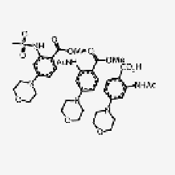 CC(=O)Nc1cc(N2CCOCC2)ccc1C(=O)O.COC(=O)c1ccc(N2CCOCC2)cc1NC(C)=O.COC(=O)c1ccc(N2CCOCC2)cc1NS(C)(=O)=O